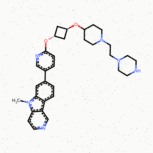 Cn1c2ccncc2c2ccc(-c3ccc(O[C@H]4C[C@H](OC5CCN(CCN6CCNCC6)CC5)C4)nc3)cc21